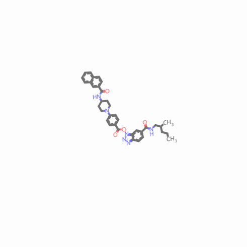 CCCC(C)CNC(=O)c1ccc2nnn(OC(=O)c3ccc(N4CCC(NC(=O)c5ccc6ccccc6c5)CC4)cc3)c2c1